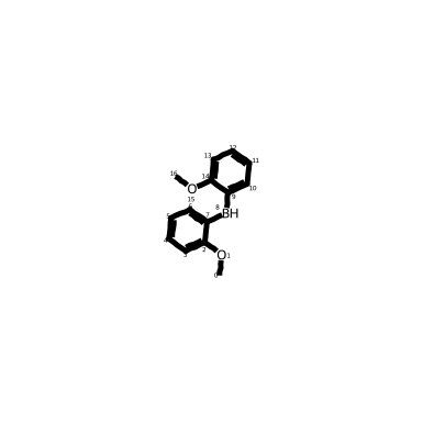 COc1ccccc1Bc1ccccc1OC